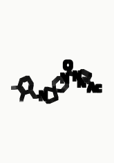 CC(=O)c1ccn(C(=O)N2CCC3(CCN(Cc4cccc(C)c4C)C3)CC2)n1